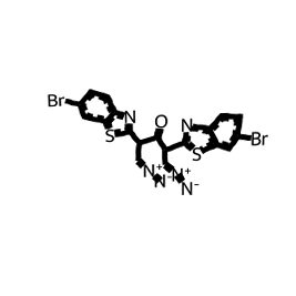 [N-]=[N+]=CC(C(=O)C(C=[N+]=[N-])c1nc2ccc(Br)cc2s1)c1nc2ccc(Br)cc2s1